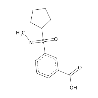 CN=S(=O)(c1cccc(C(=O)O)c1)C1CCCC1